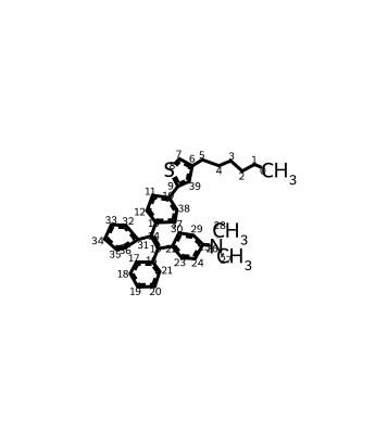 CCCCCCc1csc(-c2ccc(C(=C(c3ccccc3)c3ccc(N(C)C)cc3)c3ccccc3)cc2)c1